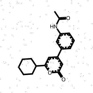 CC(=O)Nc1cccc(-c2cc(C3CCCCC3)oc(=O)c2)c1